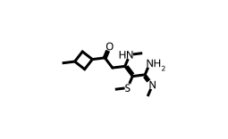 C/N=C(N)\C(SC)=C(\CC(=O)C1CC(C)C1)NC